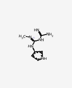 C/N=C(/NC(=N)N)Nc1cc[nH]c1